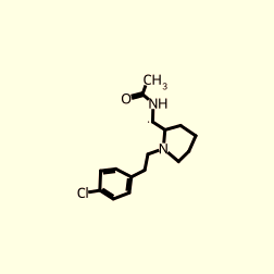 CC(=O)N[CH]C1CCCCN1CCc1ccc(Cl)cc1